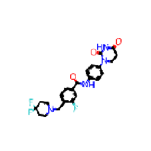 O=C1CCN(c2ccc(NC(=O)c3ccc(CN4CCC(F)(F)CC4)c(F)c3)cc2)C(=O)N1